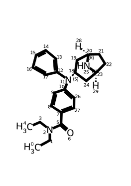 CCN(CC)C(=O)c1ccc(N(c2ccccc2)[C@@H]2C[C@H]3CC[C@@H](C2)N3)cc1